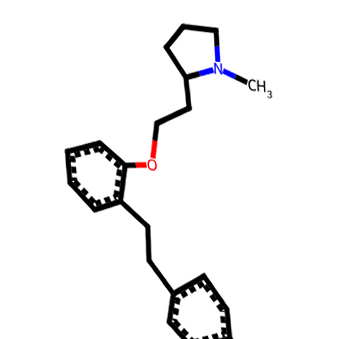 CN1CCCC1CCOc1ccccc1CCc1ccc(F)cc1